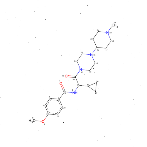 COc1ccc(C(=O)NC(C(=O)N2CCN(C3CCN(C)CC3)CC2)C2CC2)cc1